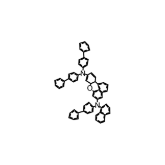 C1=CC2c3cccc4cc(N(c5ccc(-c6ccccc6)cc5)c5cccc6ccccc56)cc(c34)OC2C=C1N(c1ccc(-c2ccccc2)cc1)c1ccc(-c2ccccc2)cc1